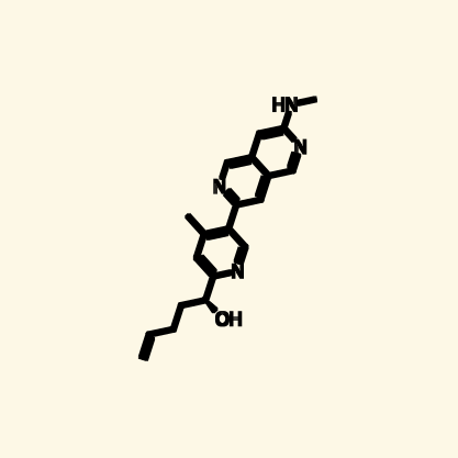 C=CCC[C@H](O)c1cc(C)c(-c2cc3cnc(NC)cc3cn2)cn1